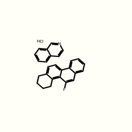 Cl.Fc1cc2ccccc2c2ccc3c(c12)CCCC3.c1ccc2cnccc2c1